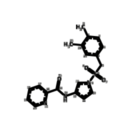 Cc1ccc(CS(=O)(=O)n2ccc(NC(=O)c3ccccn3)c2)cc1C